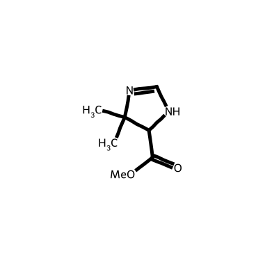 COC(=O)C1NC=NC1(C)C